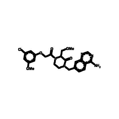 COCC1C(=O)N(Cc2ccc3c(N)ncnc3c2)CCN1C(=O)COc1cc(Cl)cc(OC)c1